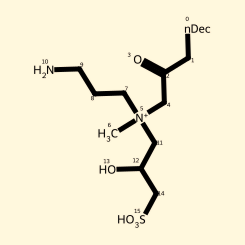 CCCCCCCCCCCC(=O)C[N+](C)(CCCN)CC(O)CS(=O)(=O)O